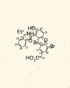 CC[C@H](NC(=O)c1cc(Oc2c(Br)cc(CC(=O)O)cc2Br)ccc1O)c1ccccc1